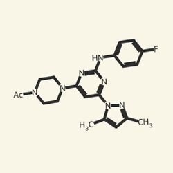 CC(=O)N1CCN(c2cc(-n3nc(C)cc3C)nc(Nc3ccc(F)cc3)n2)CC1